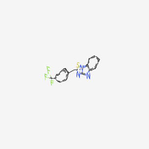 FC(F)(F)c1ccc(-c2nc3nc4ccccc4n3s2)cc1